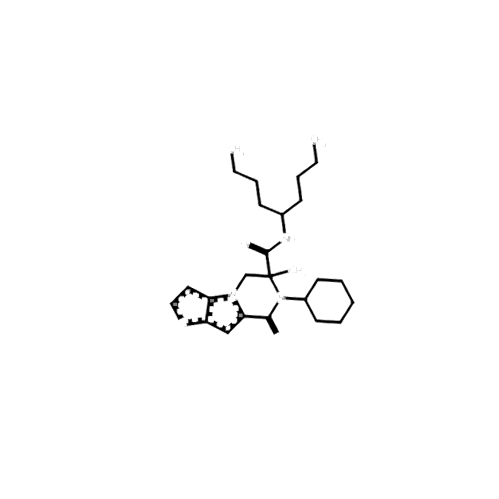 CCCCC(CCCC)NC(=O)C1(C)Cn2c(cc3sccc32)C(=O)N1C1CCCCC1